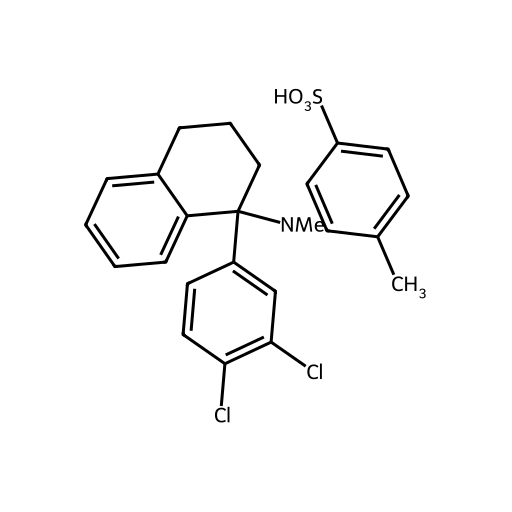 CNC1(c2ccc(Cl)c(Cl)c2)CCCc2ccccc21.Cc1ccc(S(=O)(=O)O)cc1